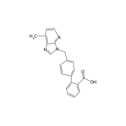 Cc1ccnc2c1ncn2Cc1ccc(-c2ccccc2C(=O)O)cc1